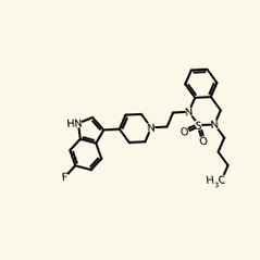 CCCCN1Cc2ccccc2N(CCN2CC=C(c3c[nH]c4cc(F)ccc34)CC2)S1(=O)=O